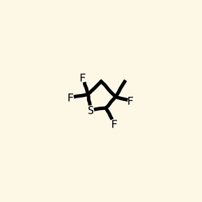 CC1(F)CC(F)(F)SC1F